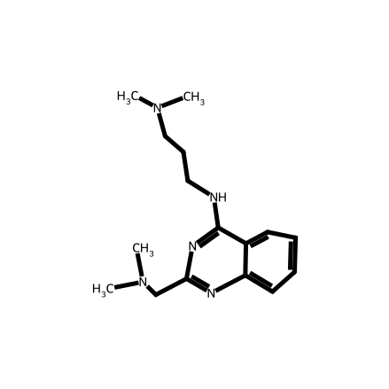 CN(C)CCCNc1nc(CN(C)C)nc2ccccc12